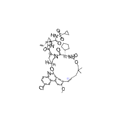 C=C[C@@H]1C[C@]1(NC(=O)[C@@H]1C[C@@H]2CN1C(=O)[C@H](C1CCCC1)NC(=O)OCC(C)(C)C/C=C/c1cc3c(nc4ccc(Cl)cc4c3cc1OC)O2)C(=O)NS(=O)(=O)C1CC1